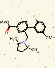 COC(=O)c1ccc(-c2cc(OC)ccc2F)c(CN2[C@H](C)CC[C@H]2C)c1